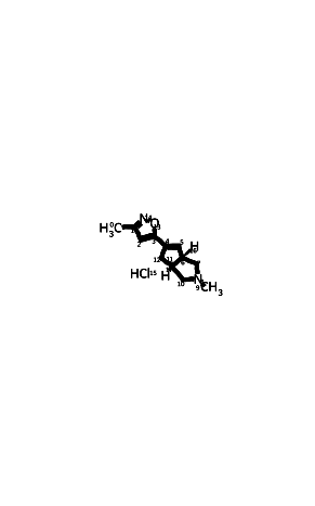 Cc1cc(C2=C[C@@H]3CN(C)C[C@@H]3C2)on1.Cl